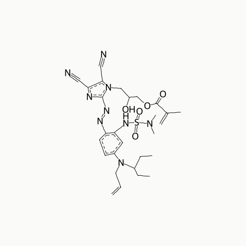 C=CCN(c1ccc(/N=N/c2nc(C#N)c(C#N)n2CC(O)COC(=O)C(=C)C)c(NS(=O)(=O)N(C)C)c1)C(CC)CC